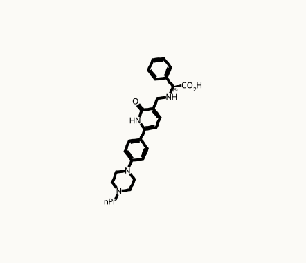 CCCN1CCN(c2ccc(-c3ccc(CN[C@H](C(=O)O)c4ccccc4)c(=O)[nH]3)cc2)CC1